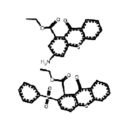 CCOC(=O)c1c(S(=O)(=O)c2ccccc2)ccc2sc3ccccc3c(=O)c12.CCOC(=O)c1cc(N)cc2sc3ccccc3c(=O)c12